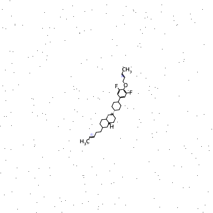 C/C=C/CCC1CCC2C[C@H](C3CCC(c4cc(F)c(OC/C=C/C)c(F)c4)CC3)CC[C@@H]2C1